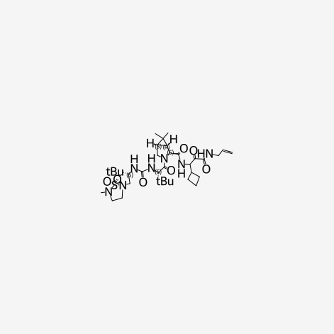 C=CCNC(=O)C(=O)C(NC(=O)[C@@H]1[C@@H]2[C@H](CN1C(=O)[C@@H](NC(=O)N[C@H](CN1CCN(C)S1(=O)=O)C(C)(C)C)C(C)(C)C)C2(C)C)C1CCC1